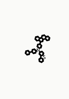 c1ccc(-c2ccc(N(c3ccc(-c4cc5c6ccccc6ccc5c5ccccc45)cc3)c3ccc4sc5ccccc5c4c3)cc2)cc1